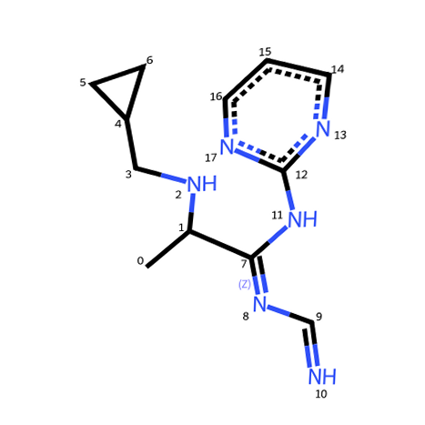 CC(NCC1CC1)/C(=N/C=N)Nc1ncccn1